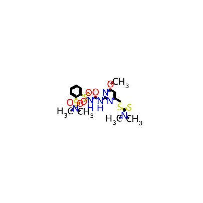 COc1cc(CSC(=S)N(C)C)nc(NC(=O)NS(=O)(=O)c2ccccc2S(=O)(=O)N(C)C)n1